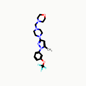 Cc1cc(N2CCN(CN3CCOCC3)CC2)nn1-c1cccc(OC(F)(F)F)c1